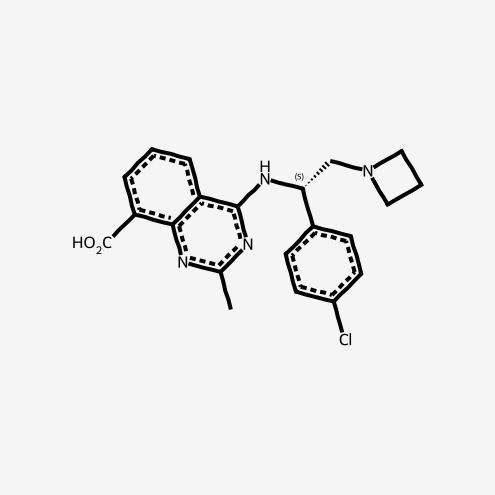 Cc1nc(N[C@H](CN2CCC2)c2ccc(Cl)cc2)c2cccc(C(=O)O)c2n1